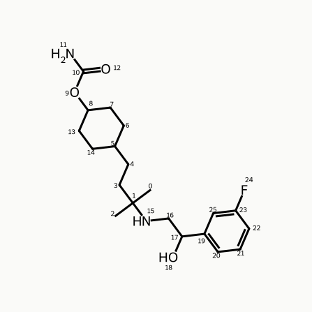 CC(C)(CCC1CCC(OC(N)=O)CC1)NCC(O)c1cccc(F)c1